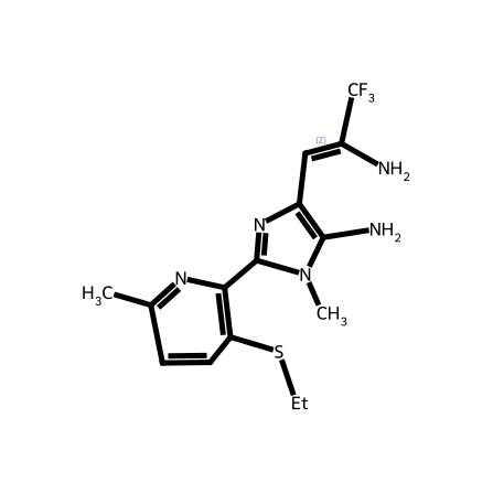 CCSc1ccc(C)nc1-c1nc(/C=C(\N)C(F)(F)F)c(N)n1C